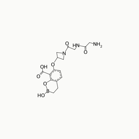 NCC(=O)NCC(=O)N1CC(Oc2ccc3c(c2C(=O)O)OB(O)CC3)C1